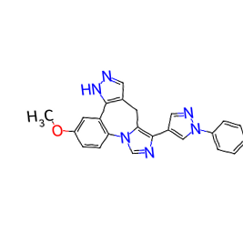 COc1ccc2c(c1)-c1[nH]ncc1Cc1c(-c3cnn(-c4ccccc4)c3)ncn1-2